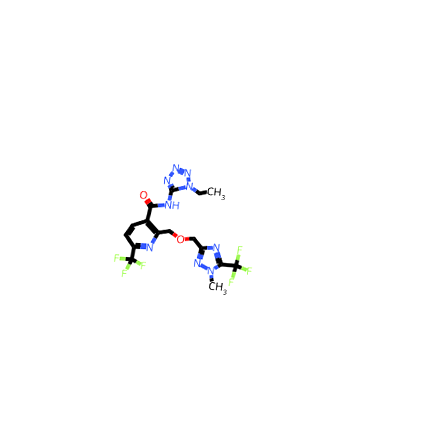 CCn1nnnc1NC(=O)c1ccc(C(F)(F)F)nc1COCc1nc(C(F)(F)F)n(C)n1